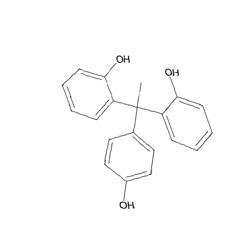 CC(c1ccc(O)cc1)(c1ccccc1O)c1ccccc1O